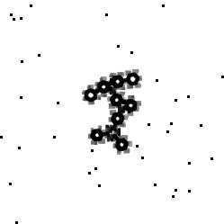 c1ccc(-c2nc(-c3ccccc3)nc(-c3ccc(-n4c5ccccc5c5cc(-n6c7cc(C8CCCCC8)ccc7c7ccc(C8CCCCC8)cc76)ccc54)cc3)n2)cc1